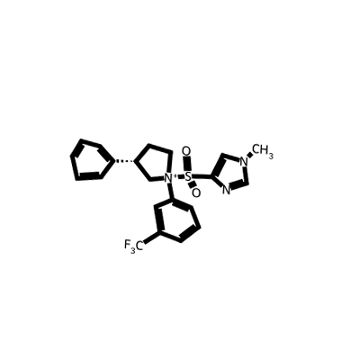 Cn1cnc(S(=O)(=O)[N+]2(c3cccc(C(F)(F)F)c3)CC[C@@H](c3ccccc3)C2)c1